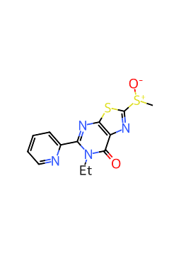 CCn1c(-c2ccccn2)nc2sc([S+](C)[O-])nc2c1=O